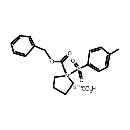 Cc1ccc(S(=O)(=O)[N+]2(C(=O)OCc3ccccc3)CCC[C@H]2C(=O)O)cc1